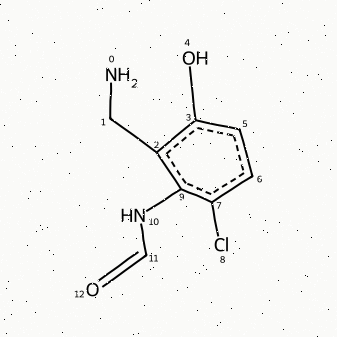 NCc1c(O)ccc(Cl)c1NC=O